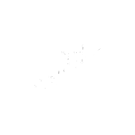 C[C@H]1CC[C@H]2[C@H](CC[C@@H]3[C@@H]2CC[C@]2(C)[C@@H](CNC(=O)c4ccnn4C)CCC[C@@H]32)C1